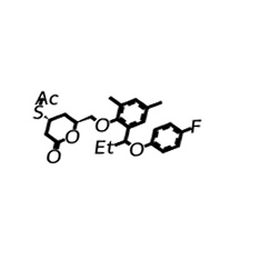 CCC(Oc1ccc(F)cc1)c1cc(C)cc(C)c1OC[C@@H]1C[C@@H](SC(C)=O)CC(=O)O1